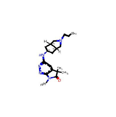 CCCN1C(=O)C(C)(C)c2cc(N[C@H]3C[C@@H]4CN(CCC(C)(C)C)C[C@@H]4C3)nnc21